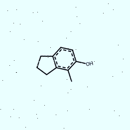 Cc1c(O)ccc2c1CCC2